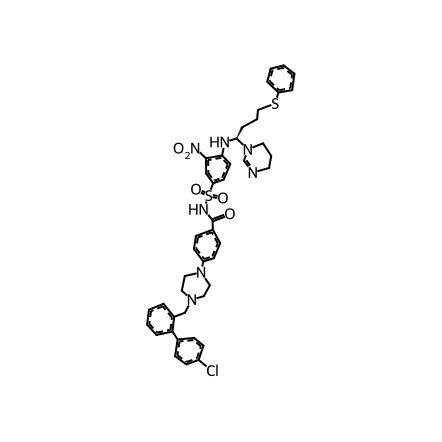 O=C(NS(=O)(=O)c1ccc(N[C@@H](CCCSc2ccccc2)N2C=NCCC2)c([N+](=O)[O-])c1)c1ccc(N2CCN(Cc3ccccc3-c3ccc(Cl)cc3)CC2)cc1